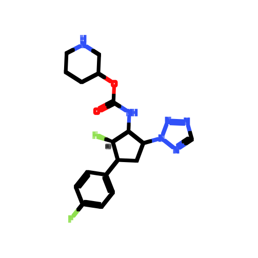 O=C(NC1C(n2ncnn2)CC(c2ccc(F)cc2)[C@H]1F)OC1CCCNC1